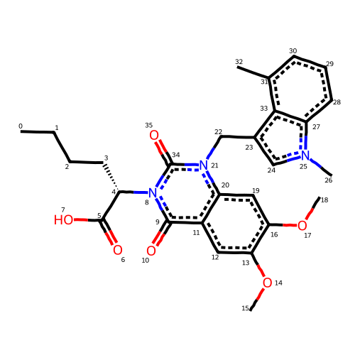 CCCC[C@@H](C(=O)O)n1c(=O)c2cc(OC)c(OC)cc2n(Cc2cn(C)c3cccc(C)c23)c1=O